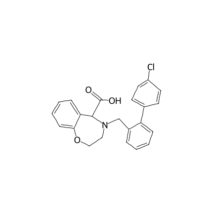 O=C(O)C1c2ccccc2OCCN1Cc1ccccc1-c1ccc(Cl)cc1